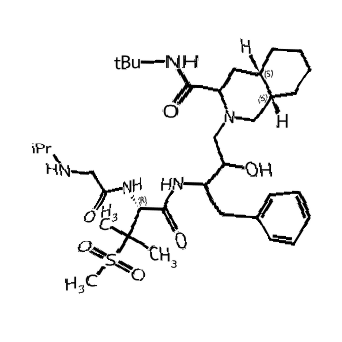 CC(C)NCC(=O)N[C@H](C(=O)NC(Cc1ccccc1)C(O)CN1C[C@H]2CCCC[C@H]2CC1C(=O)NC(C)(C)C)C(C)(C)S(C)(=O)=O